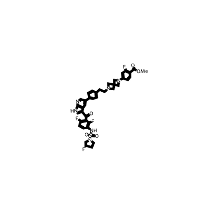 COC(=O)c1ccc(N2CC3(CN(CCc4ccc(-c5cnc6[nH]cc(C(=O)c7c(F)ccc(NS(=O)(=O)N8CC[C@@H](F)C8)c7F)c6c5)cc4)C3)C2)cc1F